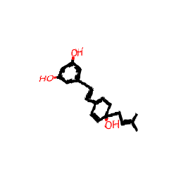 CC(C)=CCC1(O)C=CC(C=Cc2cc(O)cc(O)c2)=CC1